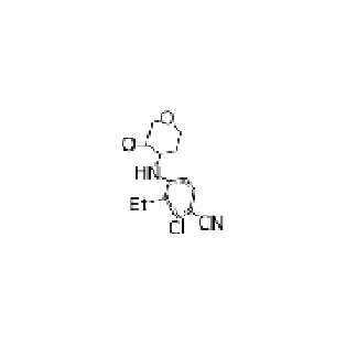 CCc1c(NC2CCOCC2=O)ccc(C#N)c1Cl